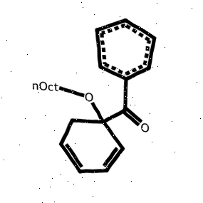 CCCCCCCCOC1(C(=O)c2ccccc2)C=CC=CC1